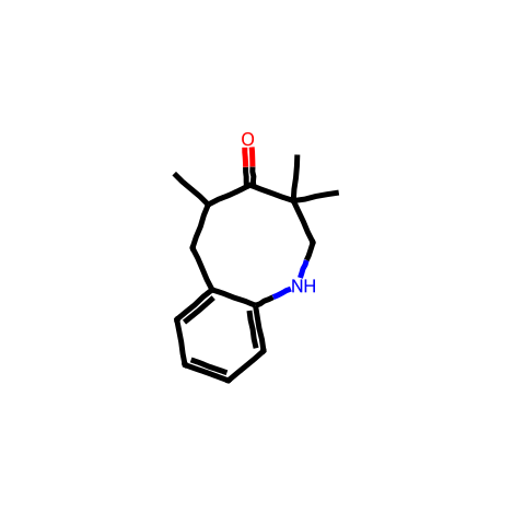 CC1Cc2ccccc2NCC(C)(C)C1=O